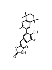 Cc1cc2c(cc1-c1cc(/C=C3/SC(=O)NC3=O)cc(F)c1O)C(C)(C)CCC2(C)C